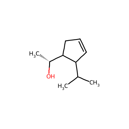 CC(C)C1C=CCC1[C@@H](C)O